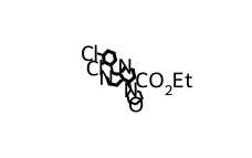 CCOC(=O)c1cnc2c(-c3cccc(Cl)c3Cl)nccc2c1N1CCOCC1